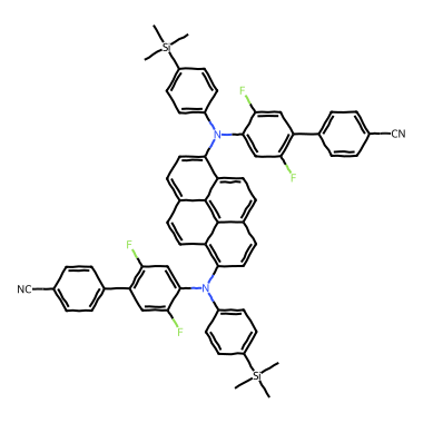 C[Si](C)(C)c1ccc(N(c2cc(F)c(-c3ccc(C#N)cc3)cc2F)c2ccc3ccc4c(N(c5ccc([Si](C)(C)C)cc5)c5cc(F)c(-c6ccc(C#N)cc6)cc5F)ccc5ccc2c3c54)cc1